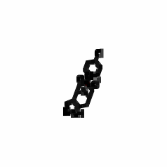 CC1CC2Cc3[nH]ncc3C(C1)N2S(=O)(=O)c1ccc(Cl)cc1